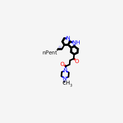 CCCCC/C=C/c1ccnc2[nH]c3ccc(C(=O)CCC(=O)N4CCN(C)CC4)cc3c12